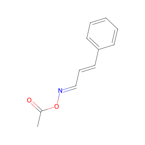 CC(=O)O/N=C/C=C/c1ccccc1